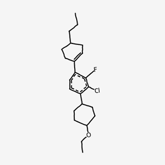 CCCC1CC=C(c2ccc(C3CCC(OCC)CC3)c(Cl)c2F)CC1